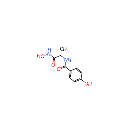 C[C@H](NC(=O)c1ccc(O)cc1)C(=O)NO